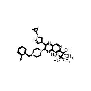 CC(C)(O)[C@@](C)(O)c1cc2nc(N3CCN(Cc4ccccc4F)CC3)c(-c3cnn(C4CC4)c3)nc2cn1